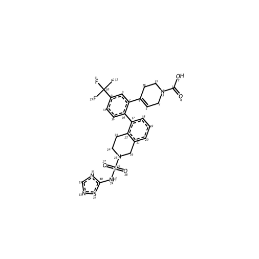 O=C(O)N1CC=C(c2cc(C(F)(F)F)ccc2-c2cccc3c2CCN(S(=O)(=O)Nc2ncns2)C3)CC1